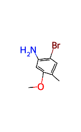 COc1cc(N)c(Br)cc1C